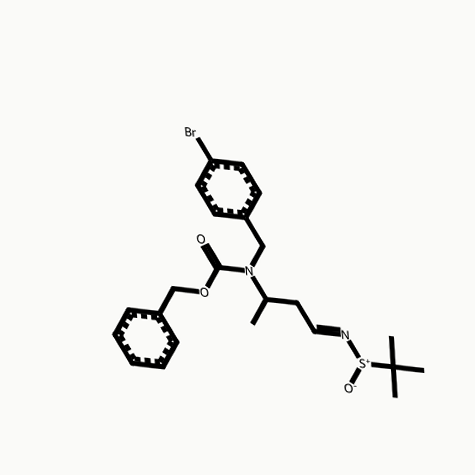 CC(C/C=N/[S+]([O-])C(C)(C)C)N(Cc1ccc(Br)cc1)C(=O)OCc1ccccc1